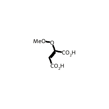 COOC(=CC(=O)O)C(=O)O